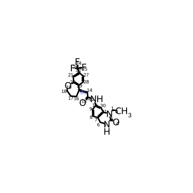 CCN1C(=O)NCc2ccc(NC(=O)/C=C3\CCCOc4cc(C(F)(F)F)ccc43)cc21